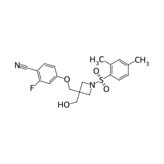 Cc1ccc(S(=O)(=O)N2CC(CO)(COc3ccc(C#N)c(F)c3)C2)c(C)c1